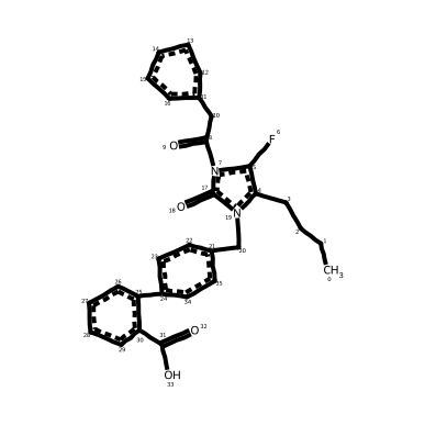 CCCCc1c(F)n(C(=O)Cc2ccccc2)c(=O)n1Cc1ccc(-c2ccccc2C(=O)O)cc1